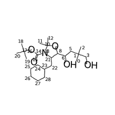 CC(C)(CO)CC(O)C1OC(C)(C)N(C(=O)OC(C)(C)C)C1CC1CCCCC1